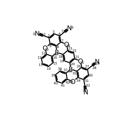 N#Cc1cc(C#N)c2c3c1Oc1ccccc1B3c1cc3c(cc1O2)Oc1c(C#N)cc(C#N)c2c1B3c1ccccc1O2